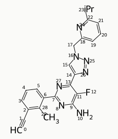 C#Cc1cccc(-c2nc(N)c(F)c(-c3cn(Cc4cccc(C(C)C)n4)nn3)n2)c1C